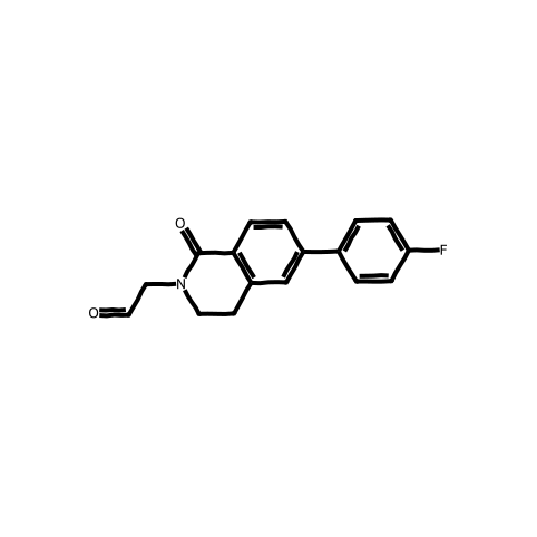 O=CCN1CCc2cc(-c3ccc(F)cc3)ccc2C1=O